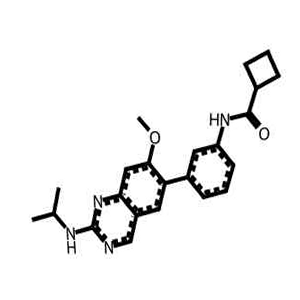 COc1cc2nc(NC(C)C)ncc2cc1-c1cccc(NC(=O)C2CCC2)c1